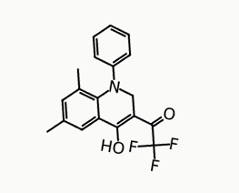 Cc1cc(C)c2c(c1)C(O)=C(C(=O)C(F)(F)F)CN2c1ccccc1